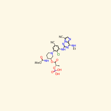 CCNc1nc(Nc2cc(C#N)cc(N3CC[C@@H](NC(=O)OC)[C@H](OC(=O)[C@@H](C)OP(=O)(O)O)C3)c2Cl)nn2c(C#N)cnc12